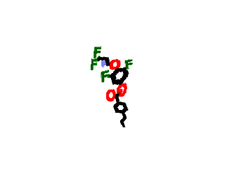 CCCc1ccc(C(=O)Oc2cc(F)c(O/C=C/C(F)F)c(F)c2)cc1